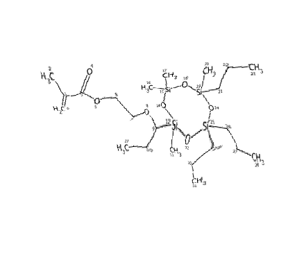 C=C(C)C(=O)OCCOC(CC)[Si]1(C)O[Si](C)(C)O[Si](C)(CCC)O[Si](CCC)(CCC)O1